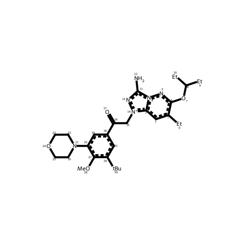 CCc1cc2n(nc1OC(CC)CC)c(N)n[n+]2CC(=O)c1cc(N2CCOCC2)c(OC)c(C(C)(C)C)c1